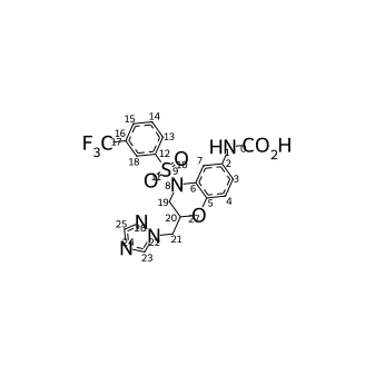 O=C(O)Nc1ccc2c(c1)N(S(=O)(=O)c1cccc(C(F)(F)F)c1)CC(Cn1cncn1)O2